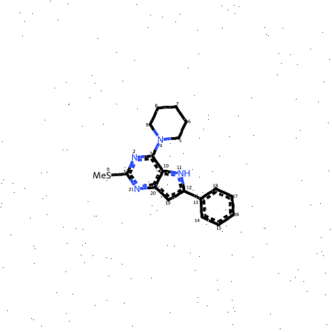 CSc1nc(N2CCCCC2)c2[nH]c(-c3ccccc3)cc2n1